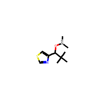 C[SiH](C)OC(c1cscn1)C(C)(C)C